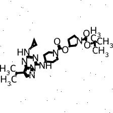 CC(C)c1cnn2c(NC3CCN(C(=O)O[C@H]4CCN(C(=O)OC(C)(C)C)C4)CC3)nc(NC3CC3)nc12